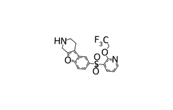 O=S(=O)(c1ccc2oc3c(c2c1)CCNC3)c1cccnc1OCC(F)(F)F